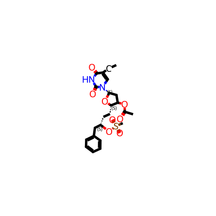 CCc1cn([C@@H]2CC(OC(C)=O)[C@H](CC[C@@H](Cc3ccccc3)OS(C)(=O)=O)O2)c(=O)[nH]c1=O